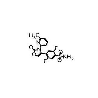 Cc1cccc(-n2c(-c3cc(F)c(S(N)(=O)=O)cc3F)coc2=O)n1